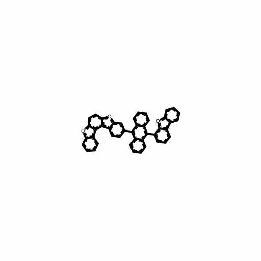 c1ccc2c(c1)oc1c(-c3c4ccccc4c(-c4ccc5c(c4)oc4ccc6oc7ccccc7c6c45)c4ccccc34)cccc12